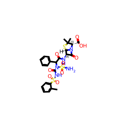 Cc1ccccc1S(=O)(=O)NC(=O)N(C(C(=O)N[C@@H]1C(=O)N2[C@@H]1SC(C)(C)[C@@H]2C(=O)O)c1ccccc1)S(N)(=O)=O